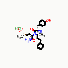 CN[C@@H](Cc1ccc(O)cc1)C(=O)N(CCCc1ccccc1)[C@H](CCSC)C(N)=O.Cl.O